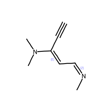 C#C/C(=C\C=N/C)N(C)C